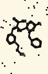 COCc1cccc(/C=C(\Nc2ncc(Br)nc2Cc2ccccc2)C(=O)O)c1